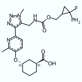 Cc1nc(-c2nnn(C)c2CNC(=O)OCC2CC2(F)P)ccc1O[C@H]1CCC[C@H](C(=O)O)C1